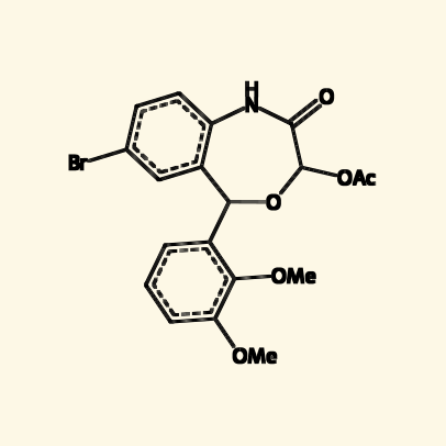 COc1cccc(C2OC(OC(C)=O)C(=O)Nc3ccc(Br)cc32)c1OC